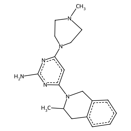 CC1Cc2ccccc2CN1c1cc(N2CCN(C)CC2)nc(N)n1